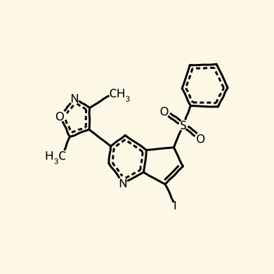 Cc1noc(C)c1-c1cnc2c(c1)C(S(=O)(=O)c1ccccc1)C=C2I